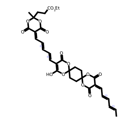 C/C=C/C=C/C=C1C(=O)OC2(CCC3(CC2)OC(=O)C(/C=C/C=C/C=C2C(=O)OC(C)(CCC(=O)OCC)OC2=O)=C(O)O3)OC1=O